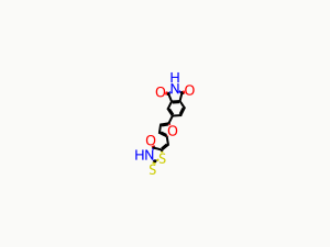 O=C1NC(=S)SC1=Cc1ccc(-c2ccc3c(c2)C(=O)NC3=O)o1